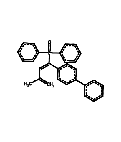 C=C(C)/C=C(\c1ccc(-c2ccccc2)cc1)P(=O)(c1ccccc1)c1ccccc1